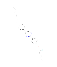 CCCCCCOc1ccc(-c2cnc(-c3ccc(OCC(F)CCCC)cc3)nc2)cc1